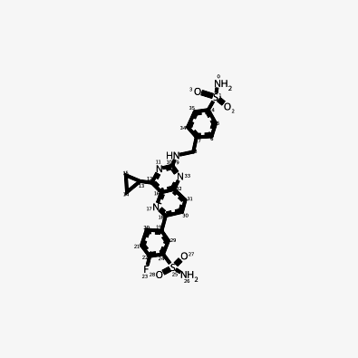 NS(=O)(=O)c1ccc(CNc2nc(C3CC3)c3nc(-c4ccc(F)c(S(N)(=O)=O)c4)ccc3n2)cc1